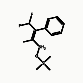 CC([SiH2]O[Si](C)(C)C)=C(c1ccccc1)C(F)F